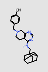 N#Cc1ccc(CN2CCc3c(ncnc3NCC34CC5CC(CC(C5)C3)C4)C2)cc1